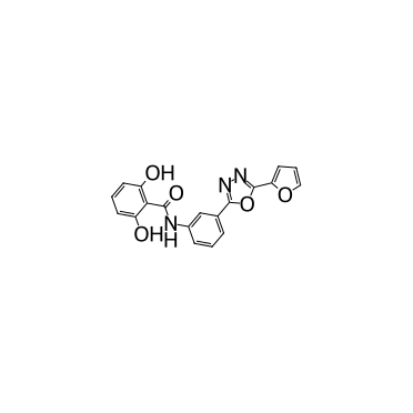 O=C(Nc1cccc(-c2nnc(-c3ccco3)o2)c1)c1c(O)cccc1O